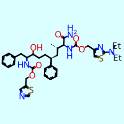 CCN(CC)c1nc(COC(=O)N[C@H](C(N)=O)[C@@H](C)C[C@H](CCC(O)C(Cc2ccccc2)NC(=O)OCc2cncs2)c2ccccc2)cs1